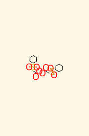 O=C(CS(=O)(=O)C1CCCCC1)OOC(=O)CS(=O)(=O)C1CCCCC1